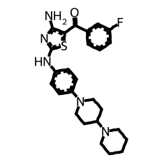 Nc1nc(Nc2ccc(N3CCC(N4CCCCC4)CC3)cc2)sc1C(=O)c1cccc(F)c1